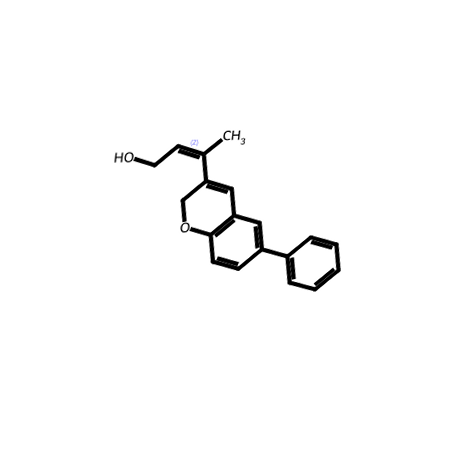 C/C(=C/CO)C1=Cc2cc(-c3ccccc3)ccc2OC1